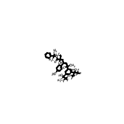 CCC(C)(CC(CC(C)(C)c1cc(C(C)(O)C(F)(F)F)cc(C(O)(C(F)(F)F)C(F)(F)F)c1)c1ccc(O)cc1)C(=O)OC(C)(C)c1ccccc1